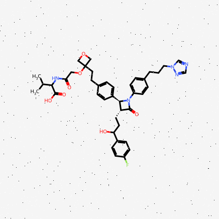 CC(C)C(NC(=O)COC1(CCc2ccc([C@@H]3[C@@H](CCC(O)c4ccc(F)cc4)C(=O)N3c3ccc(CCCn4cncn4)cc3)cc2)COC1)C(=O)O